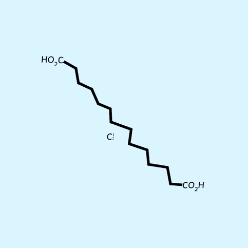 O=C(O)CCCCCCCCCCCCC(=O)O.[C]